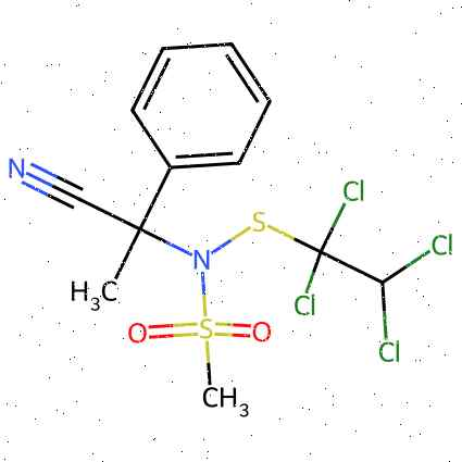 CC(C#N)(c1ccccc1)N(SC(Cl)(Cl)C(Cl)Cl)S(C)(=O)=O